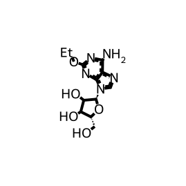 CCOc1nc(N)c2ncn([C@@H]3O[C@H](CO)C(O)C3O)c2n1